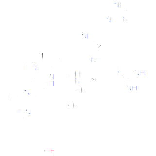 CC(C)C[C@H](NC(=O)[C@H](Cc1ccccc1)NC(=O)CN(C)C(=O)[C@@H](N)Cc1ccc(O)cc1)C(=O)N[C@H](CCCNC(=N)N)C(=O)N[C@H](CCCNC(=N)N)C(N)=O